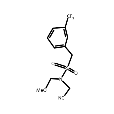 COCN(CC#N)S(=O)(=O)Cc1cccc(C(F)(F)F)c1